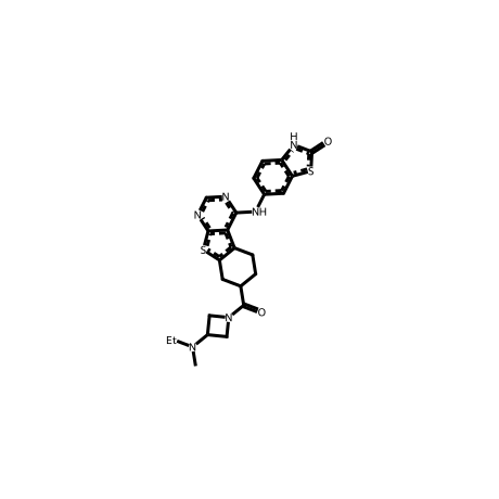 CCN(C)C1CN(C(=O)C2CCc3c(sc4ncnc(Nc5ccc6[nH]c(=O)sc6c5)c34)C2)C1